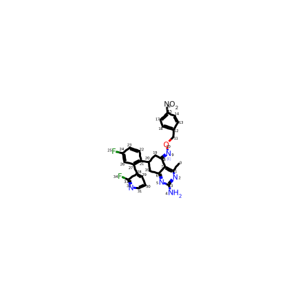 Cc1nc(N)nc2c1/C(=N/OCc1ccc([N+](=O)[O-])cc1)CC(c1ccc(F)cc1-c1cccnc1F)C2